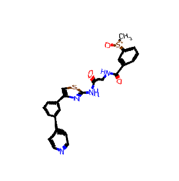 C[S+]([O-])c1cccc(C(=O)NCC(=O)Nc2nc(-c3cccc(-c4ccncc4)c3)cs2)c1